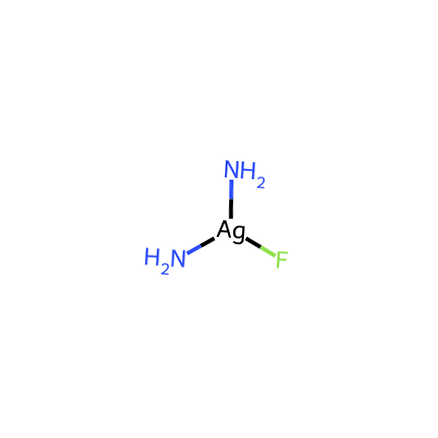 [NH2][Ag]([NH2])[F]